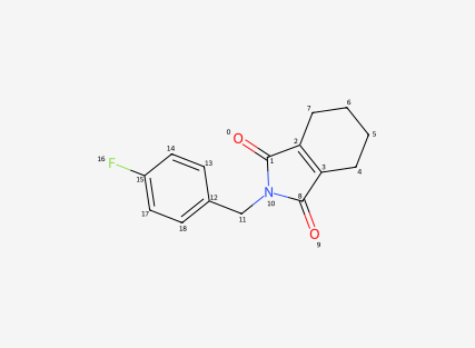 O=C1C2=C(CCCC2)C(=O)N1Cc1ccc(F)cc1